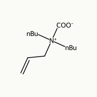 C=CC[N+](CCCC)(CCCC)C(=O)[O-]